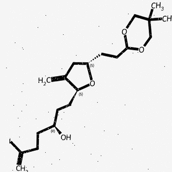 C=C(I)CC[C@H](O)CC[C@@H]1O[C@@H](CCC2OCC(C)(C)CO2)CC1=C